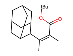 CC(C(=O)OC(C)(C)C)=C(C)C1C2CC3CC(C2)CC1C3